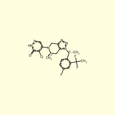 C[C@@H]1Cc2c(nnn2[C@H](C)c2ccc(F)cc2C(C)(F)F)CN1c1cn[nH]c(=O)c1Cl